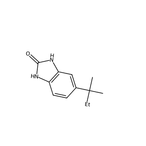 CCC(C)(C)c1ccc2[nH]c(=O)[nH]c2c1